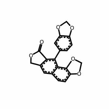 O=C1OCc2cc3ccc4c(c3c(-c3ccc5c(c3)OCO5)c21)OCO4